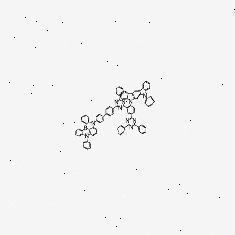 c1ccc(-c2nc(-c3ccccc3)nc(-c3ccc(-n4c5ccccc5c5cc6c7ccccc7n(-c7ccccc7)c6cc54)c(-c4nc(-c5ccccc5)nc(-c5ccc(-c6ccc(N7c8ccccc8B8c9ccccc9N(c9ccccc9)c9cccc7c98)cc6)cc5)n4)c3)n2)cc1